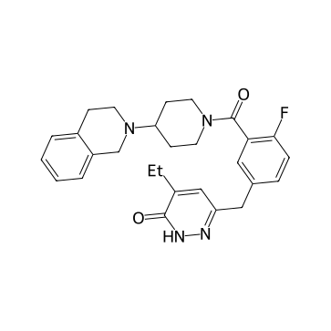 CCc1cc(Cc2ccc(F)c(C(=O)N3CCC(N4CCc5ccccc5C4)CC3)c2)n[nH]c1=O